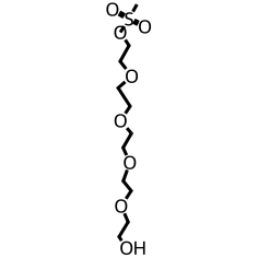 CS(=O)(=O)OCCOCCOCCOCCOCCO